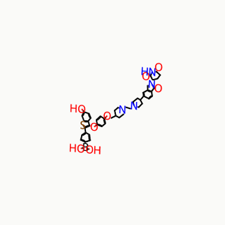 O=C1CCC(N2Cc3cc(C4CCN(CCN5CCC(COc6ccc(Oc7c(-c8ccc(B(O)O)cc8)sc8cc(O)ccc78)cc6)CC5)CC4)ccc3C2=O)C(=O)N1